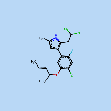 CC=CC(Oc1cc(-c2cc(C(F)(F)F)[nH]c2CC(Cl)Cl)c(F)cc1Cl)C(=O)O